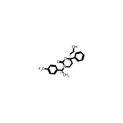 C[C@@H](c1ccc(C(F)(F)F)cc1)N1CC[C@](CCO)(c2ccccc2)OC1=O